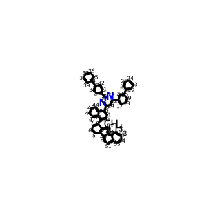 CC1(C)c2c(cccc2-c2ccc(-c3cc(-c4cccc(-c5ccccc5)c4)nc(-c4ccc(-c5ccccc5)cc4)n3)c3ccccc23)-c2ccc3ccccc3c21